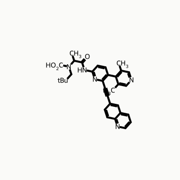 Cc1cncc(C)c1-c1ccc(NC(=O)C(C)N(CC(C)(C)C)C(=O)O)nc1C#Cc1ccc2ncccc2c1